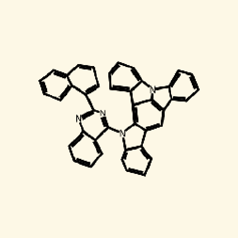 c1ccc2c(-c3nc(-n4c5ccccc5c5cc6c7ccccc7n7c8ccccc8c(c54)c67)c4ccccc4n3)cccc2c1